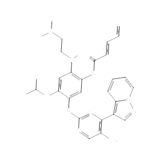 C=C/C=C/C(=O)Nc1cc(Nc2ncc(C#N)c(-c3cnn4ccccc34)n2)c(OC(F)F)cc1N(C)CCN(C)C